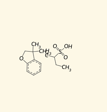 CC1(C)COc2ccccc21.CCC(C)S(=O)(=O)O